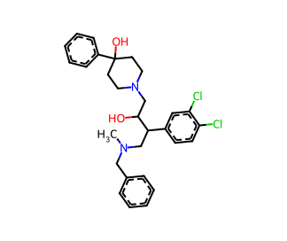 CN(Cc1ccccc1)CC(c1ccc(Cl)c(Cl)c1)C(O)CN1CCC(O)(c2ccccc2)CC1